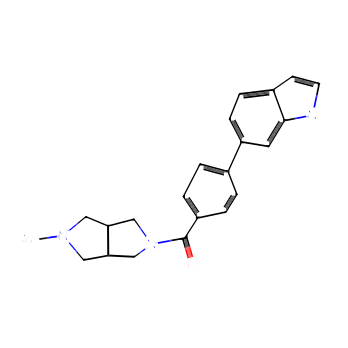 CC(=O)N1CC2CN(C(=O)c3ccc(-c4ccc5cc[nH]c5c4)cc3)CC2C1